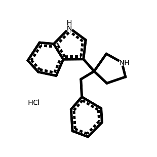 Cl.c1ccc(CC2(c3c[nH]c4ccccc34)CCNC2)cc1